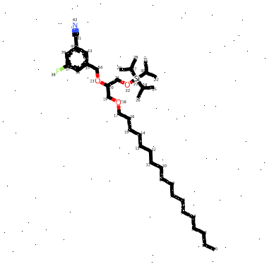 CCCCCCCCCCCCCCCCCCOCC(CO[Si](C(C)C)(C(C)C)C(C)C)OCc1cc(F)cc(C#N)c1